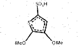 COc1cc(S(=O)(=O)O)sc1OC